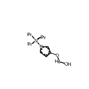 CC(C)[Si](C(C)C)(C(C)C)n1ccc(OBO)c1